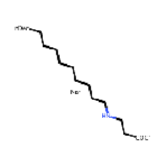 CCCCCCCCCCCCCCCCCCCNCCC(=O)[O-].[Na+]